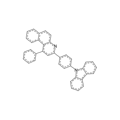 c1ccc(-c2cc(-c3ccc(-n4c5ccccc5c5ccccc54)cc3)nc3ccc4ccccc4c23)cc1